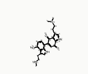 CNCCc1c[nH]c2c(C3=CC(=O)c4[nH]cc(CCN(C)C)c4C3=O)ccc(O)c12